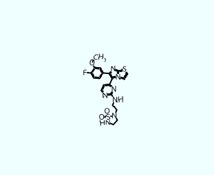 COc1cc(-c2nc3sccn3c2-c2ccnc(NCCN3CCNS3(=O)=O)n2)ccc1F